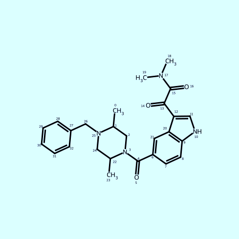 CC1CN(C(=O)c2ccc3[nH]cc(C(=O)C(=O)N(C)C)c3c2)C(C)CN1Cc1ccccc1